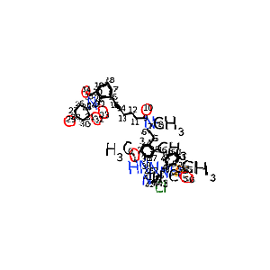 COc1cc(CCN(C)C(=O)CCCC#Cc2cccc3c2C(=O)N(C2CCC(=O)CC2=O)C3=O)c(C)cc1Nc1ncc(Cl)c(Nc2ccccc2P(C)(C)=O)n1